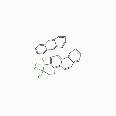 ClC1(Cl)CCc2c(ccc3c2ccc2ccccc23)C1(Cl)Cl.c1ccc2cc3ccccc3cc2c1